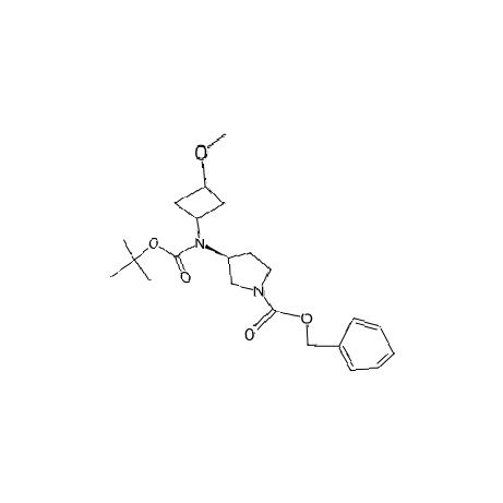 COC1CC(N(C(=O)OC(C)(C)C)[C@H]2CCN(C(=O)OCc3ccccc3)C2)C1